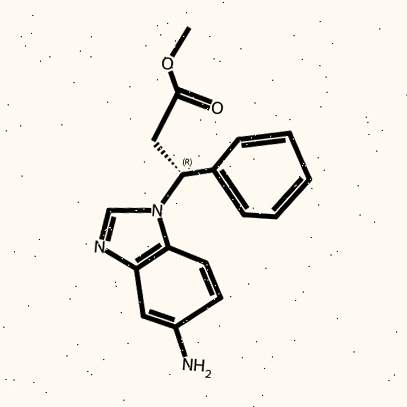 COC(=O)C[C@H](c1ccccc1)n1cnc2cc(N)ccc21